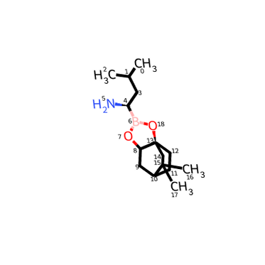 CC(C)C[C@H](N)B1OC2CC3CC[C@@]2(CC3(C)C)O1